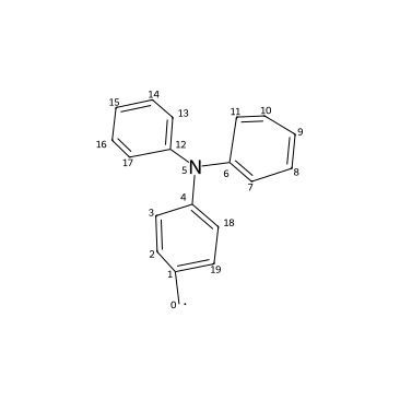 [CH2]c1ccc(N(c2ccccc2)c2ccccc2)cc1